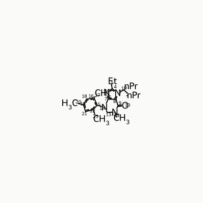 CCCC(CCC)n1c(CC)nc2c1C(=O)N(C)CN2c1c(C)cc(C)cc1C